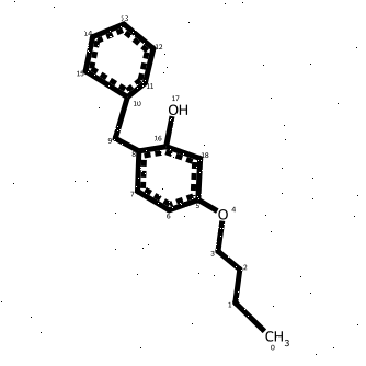 CCCCOc1ccc([CH]c2ccccc2)c(O)c1